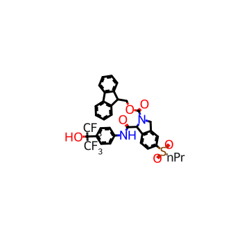 CCCS(=O)(=O)c1ccc2c(c1)CN(C(=O)OCC1c3ccccc3-c3ccccc31)C2C(=O)Nc1ccc(C(O)(C(F)(F)F)C(F)(F)F)cc1